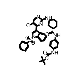 CC(C)(C)OC(=O)Nc1ccc(NC(=O)[C@H]2CCC[C@@H](Nc3ncc(Cl)c(-c4cn(S(=O)(=O)c5ccccc5)c5ccccc45)n3)C2)cc1